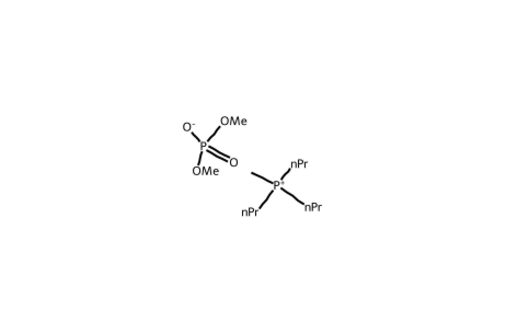 CCC[P+](C)(CCC)CCC.COP(=O)([O-])OC